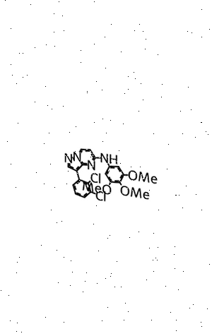 COc1cc(Nc2ccn3ncc(-c4cccc(Cl)c4Cl)c3n2)cc(OC)c1OC